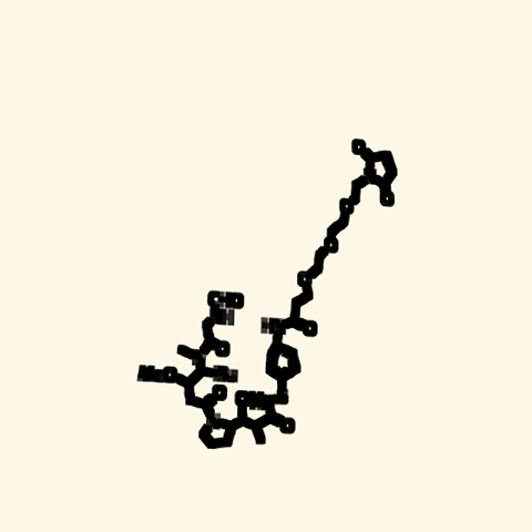 CCC(C)C(C(CC(=O)N1CCCC1C(OC)C(C)C(=O)NSc1ccc(NC(=O)CCOCCOCCOCCN2C(=O)C=CC2=O)cc1)OC)N(C)C(=O)CNC=O